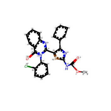 COC(=O)Nc1nc(-c2ccccc2)c(-c2nc3ccccc3c(=O)n2-c2ccccc2Cl)s1